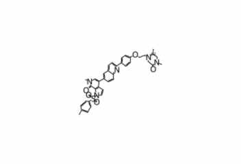 Cc1ccc(S(=O)(=O)n2ccc3c(-c4ccc5nc(-c6ccc(OCCN7CC(=O)N(C)C[C@@H]7C)cc6)ccc5c4)cn(C)c(=O)c32)cc1